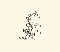 CN/C=C(\C(C)=N)S(=O)(=O)NC(=O)c1ccc(-n2ccc(OCCC3(C(F)(F)F)CC3)n2)nc1N1C[C@@H](C)CC1(C)C